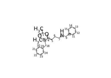 CC(=O)O[C@@H](CCCNCc1ccccc1)[C@@H](C)Cc1ccccc1